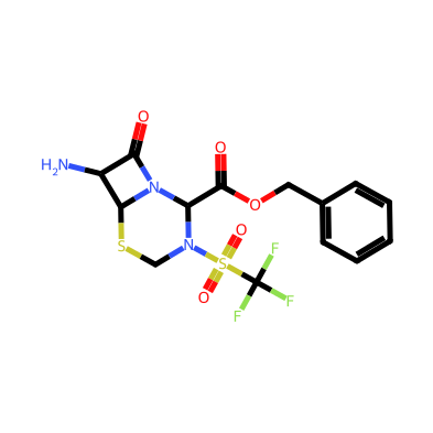 NC1C(=O)N2C1SCN(S(=O)(=O)C(F)(F)F)C2C(=O)OCc1ccccc1